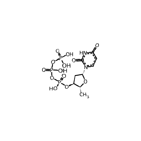 C[C@H]1O[C@@H](n2ccc(=O)[nH]c2=O)C[C@@H]1OP(=O)(O)OP(=O)(O)OP(=O)(O)O